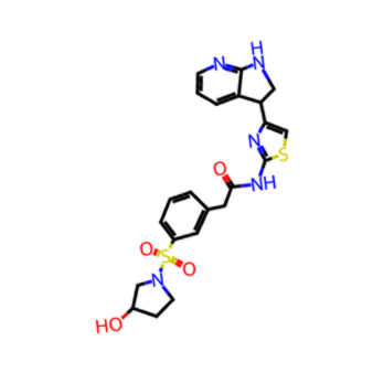 O=C(Cc1cccc(S(=O)(=O)N2CCC(O)C2)c1)Nc1nc(C2CNc3ncccc32)cs1